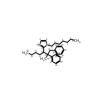 CCCCCCCn1ccnc1C(CCCC)C(C)(Cc1ccccc1)c1ccccc1